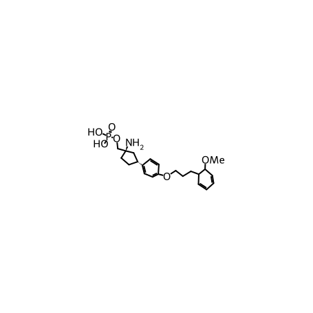 COC1C=CC=CC1CCCOc1ccc([C@@H]2CC[C@](N)(COP(=O)(O)O)C2)cc1